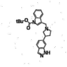 CC(C)(C)OC(=O)n1cc(CN2CCC(c3ccc4cn[nH]c4c3)C2)c2ccccc21